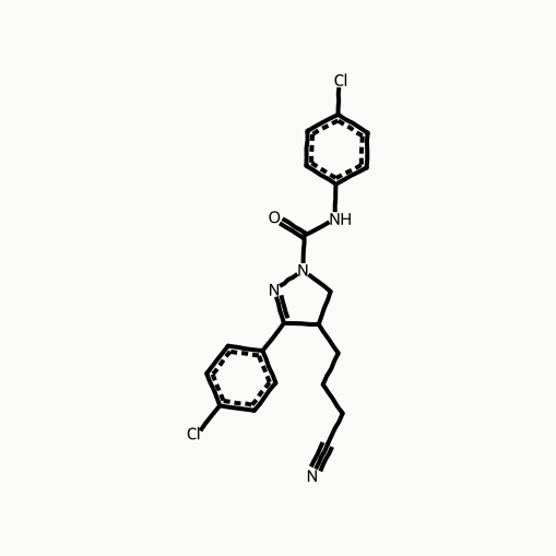 N#CCCCC1CN(C(=O)Nc2ccc(Cl)cc2)N=C1c1ccc(Cl)cc1